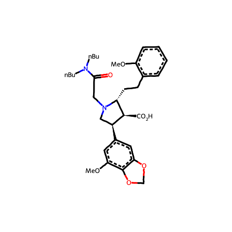 CCCCN(CCCC)C(=O)CN1C[C@H](c2cc(OC)c3c(c2)OCO3)[C@H](C(=O)O)[C@H]1CCc1ccccc1OC